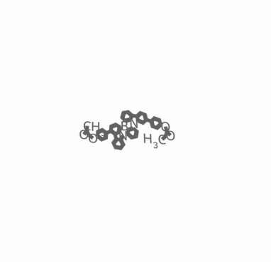 CC1OC1Oc1ccc(-c2ccc3c4cccc5c4n(c3c2)-c2cccc3c2B5c2ccc(-c4ccc(OC5OC5C)cc4)c4c5ccccc5n-3c24)cc1